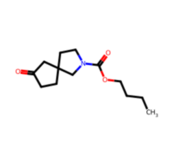 CCCCOC(=O)N1CCC2(CCC(=O)C2)C1